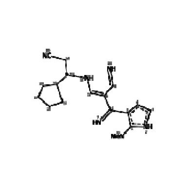 CNc1[nH]ccc1C(=N)/C(C=N)=C/NP(CC#N)C1CCCC1